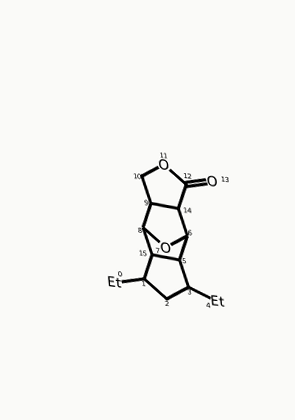 CCC1CC(CC)C2C3OC(C4COC(=O)C43)C12